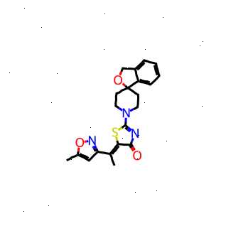 C/C(=C1/SC(N2CCC3(CC2)OCc2ccccc23)=NC1=O)c1cc(C)on1